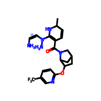 CC1C=CC(C(=O)N2CC3CC(Oc4ccc(C(F)(F)F)cn4)C2C3)=C(N(N)/C=C\N)N1